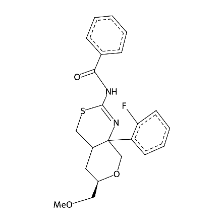 COC[C@H]1CC2CSC(NC(=O)c3ccccc3)=NC2(c2ccccc2F)CO1